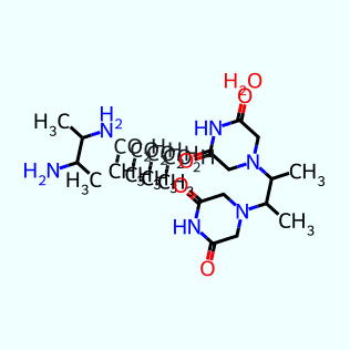 CC(=O)O.CC(=O)O.CC(=O)O.CC(=O)O.CC(C(C)N1CC(=O)NC(=O)C1)N1CC(=O)NC(=O)C1.CC(N)C(C)N.O